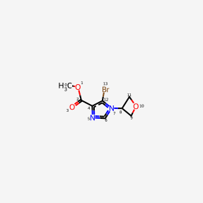 COC(=O)c1ncn(C2COC2)c1Br